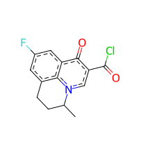 CC1CCc2cc(F)cc3c(=O)c(C(=O)Cl)cn1c23